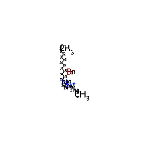 CCCCCCCCCCCCn1cc[n+](CCCC)c1.[Br-]